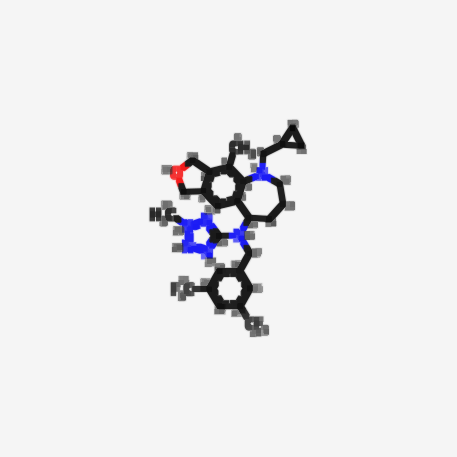 Cc1c2c(cc3c1N(CC1CC1)CCCC3N(Cc1cc(C(F)(F)F)cc(C(F)(F)F)c1)c1nnn(C)n1)COC2